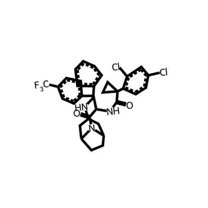 O=C(C(Cc1ccc(C(F)(F)F)cc1)NC(=O)C1(c2ccc(Cl)cc2Cl)CC1)N1C2CCC1CC(NCc1ccccc1)C2